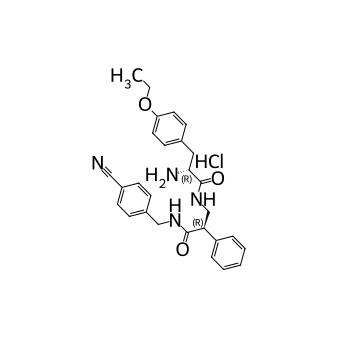 CCOc1ccc(C[C@@H](N)C(=O)NC[C@H](C(=O)NCc2ccc(C#N)cc2)c2ccccc2)cc1.Cl